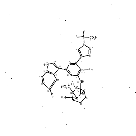 CC(C)(C(=O)O)n1cc(-c2nc(-c3c[nH]c4ncc(F)cc34)nc(N[C@H]3C4CCC(CC4)[C@@H]3C(=O)O)c2F)cn1